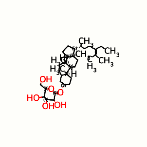 CCC(CCC(C)[C@H]1CC[C@@H]2[C@]1(C)CC[C@H]1[C@@]2(C)CCC2C[C@@H](O[C@@H]3O[C@H](CO)C(O)[C@H](O)C3O)CC[C@@]21C)=C(C)C